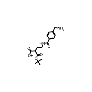 CC(C)(C)OC(=O)C(CCNC(=O)c1ccc(CN)cc1)C(=O)O